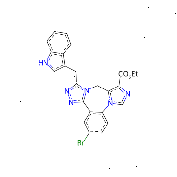 CCOC(=O)c1ncn2c1Cn1c(Cc3c[nH]c4ccccc34)nnc1-c1cc(Br)ccc1-2